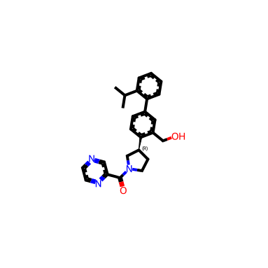 CC(C)c1ccccc1-c1ccc([C@H]2CCN(C(=O)c3cnccn3)C2)c(CO)c1